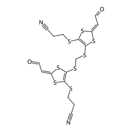 N#CCCSC1=C(SCSC2=C(SCCC#N)S/C(=C\C=O)S2)S/C(=C\C=O)S1